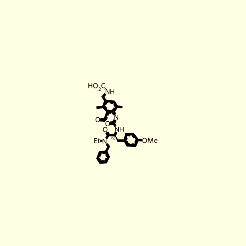 CCN(Cc1ccccc1)C(=O)[C@H](Cc1ccc(OC)cc1)Nc1nc2c(C)cc(CNC(=O)O)c(C)c2c(=O)o1